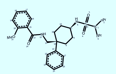 CCCN(CCC)S(=O)(=O)N[C@H]1CC[C@](CNC(=O)c2ccccc2OC)(c2ccccc2)CC1